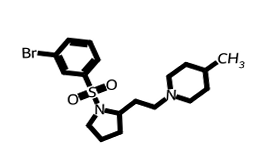 CC1CCN(CCC2CCCN2S(=O)(=O)c2cccc(Br)c2)CC1